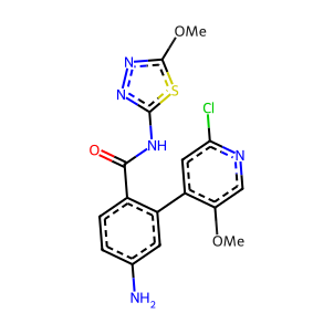 COc1nnc(NC(=O)c2ccc(N)cc2-c2cc(Cl)ncc2OC)s1